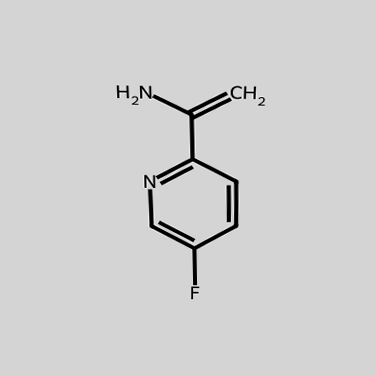 C=C(N)c1ccc(F)cn1